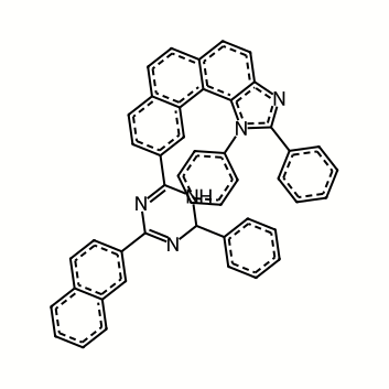 c1ccc(-c2nc3ccc4ccc5ccc(C6=NC(c7ccc8ccccc8c7)=NC(c7ccccc7)N6)cc5c4c3n2-c2ccccc2)cc1